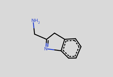 NCC1=Nc2ccccc2C1